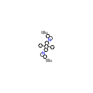 CC(C)(C)c1ccc2c(c1)CCCN2c1ccc2c(-c3ccccc3)c3cc(N4CCCc5cc(C(C)(C)C)ccc54)ccc3c(-c3ccccc3)c2c1